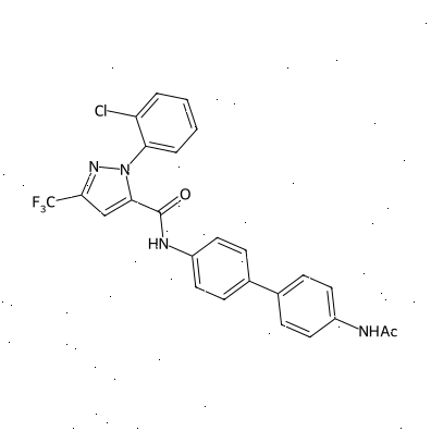 CC(=O)Nc1ccc(-c2ccc(NC(=O)c3cc(C(F)(F)F)nn3-c3ccccc3Cl)cc2)cc1